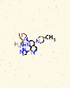 CC1CCN(c2cc(N3CCOC[C@H]3C)nc3c(-c4ccn[nH]4)nccc23)CC1